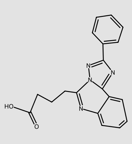 O=C(O)CCCc1nc2ccccc2c2nc(-c3ccccc3)nn12